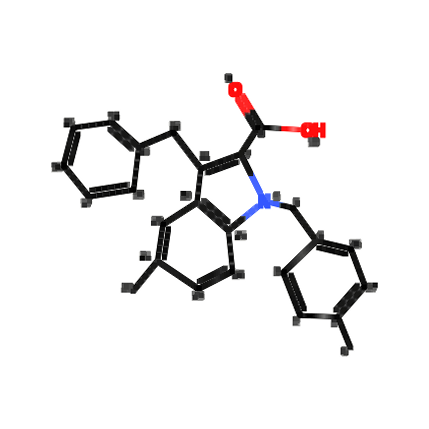 Cc1ccc(Cn2c(C(=O)O)c(Cc3ccccc3)c3cc(C)ccc32)cc1